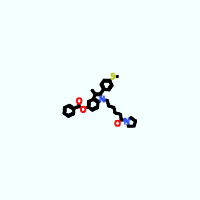 CSc1ccc(-c2c(C)c3cc(OC(=O)c4ccccc4)ccc3n2CCCCCC(=O)N2CCCC2)cc1